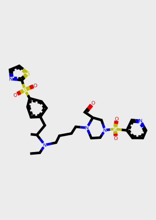 CCN(CCCCN1CCN(S(=O)(=O)c2cccnc2)CC1C=O)C(C)Cc1ccc(S(=O)(=O)c2nccs2)cc1